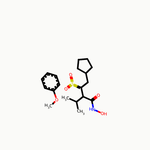 CC(C)C(C(=O)NO)C(CC1CCCC1)=S(=O)=O.COc1ccccc1